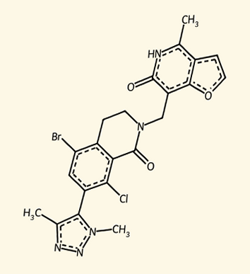 Cc1nnn(C)c1-c1cc(Br)c2c(c1Cl)C(=O)N(Cc1c(=O)[nH]c(C)c3ccoc13)CC2